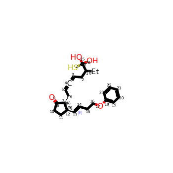 CCC(CC=C=CC[C@H]1C(=O)CC[C@@H]1/C=C/CCOc1ccccc1)C(O)(O)S